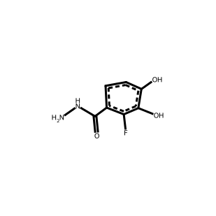 NNC(=O)c1ccc(O)c(O)c1F